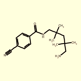 CC(C)(CN)CC(C)(C)CNC(=O)c1ccc(C#N)cc1